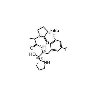 CCCC[C@H]1CCN(C(C)C(=O)N[C@@H](Cc2cc(F)cc(F)c2)[C@H](O)[C@H]2CCCN2)C1=O